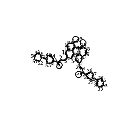 O=C(/C=C/c1ccc2c3c(ccc2c1)OCOc1ccc2cc(/C=C/C(=O)c4ccc(-c5ccccc5)cc4)ccc2c1-3)c1ccc(-c2ccccc2)cc1